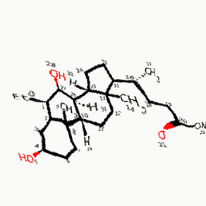 CC[C@@H]1C2C[C@H](O)CCC2(C)[C@H]2CCC3(C)C([C@H](C)CCC(=O)OC)CC[C@H]3[C@@H]2[C@@H]1O